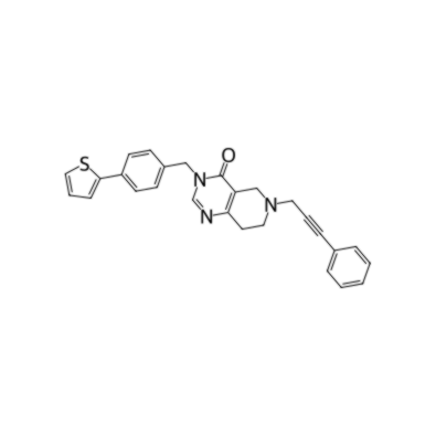 O=c1c2c(ncn1Cc1ccc(-c3cccs3)cc1)CCN(CC#Cc1ccccc1)C2